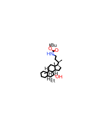 CC[C@H]1[C@@H](O)[C@@H]2[C@H](CC[C@]3(C)[C@@H]([C@H](C)CCNC(=O)OC(C)(C)C)CC[C@@H]23)[C@@]2(C)CCCC[C@@H]12